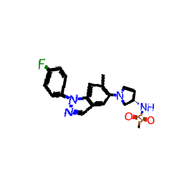 Cc1cc2c(cnn2-c2ccc(F)cc2)cc1N1CC[C@H](NS(C)(=O)=O)C1